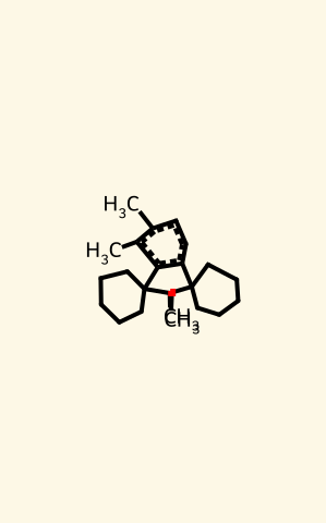 CCC1(c2ccc(C)c(C)c2C2(CC)CCCCC2)CCCCC1